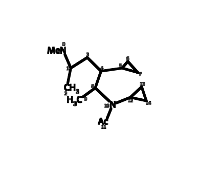 CNC(C)CC(C1CC1)C(C)N(C(C)=O)C1CC1